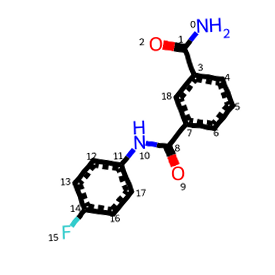 NC(=O)c1cccc(C(=O)Nc2ccc(F)cc2)c1